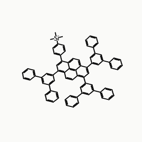 C[Si](C)(C)c1ccc(-c2cc(-c3cc(-c4ccccc4)cc(-c4ccccc4)c3)c3ccc4c(-c5cc(-c6ccccc6)cc(-c6ccccc6)c5)cc(-c5cc(-c6ccccc6)cc(-c6ccccc6)c5)c5ccc2c3c54)cc1